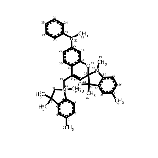 Cc1ccc2c(c1)C(C)(C)C[N+]2(C)CC1=CC2(Oc3cc(N(C)c4ccccc4)ccc31)N(C)c1ccc(C)cc1C2(C)C